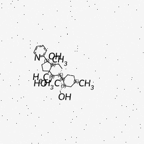 C[C@H]1CC[C@](C)([C@H]2CC[C@@]3(C)C(C)(CC[C@@]3(O)c3ccccn3)[C@@H]2CO)[C@@H](CO)C1